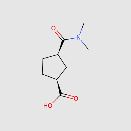 CN(C)C(=O)[C@@H]1CC[C@H](C(=O)O)C1